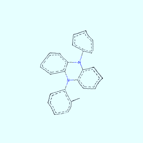 Cc1ccccc1N1c2ccccc2N(c2ccccc2)c2ccccc21